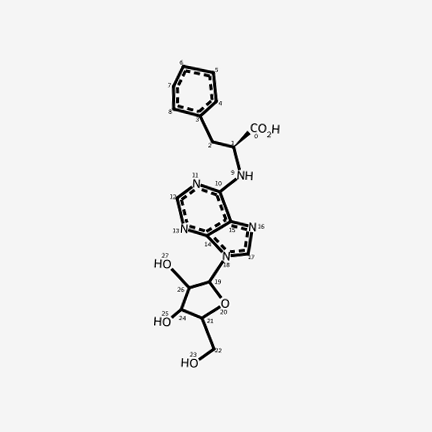 O=C(O)[C@H](Cc1ccccc1)Nc1ncnc2c1ncn2C1OC(CO)C(O)C1O